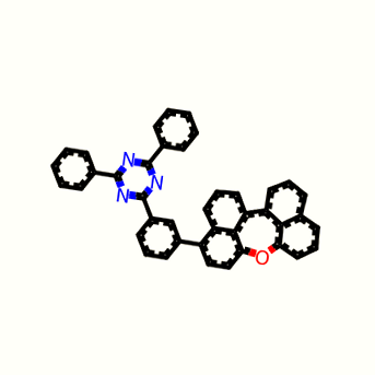 c1ccc(-c2nc(-c3ccccc3)nc(-c3cccc(-c4ccc5oc6cccc7cccc(c8cccc4c58)c76)c3)n2)cc1